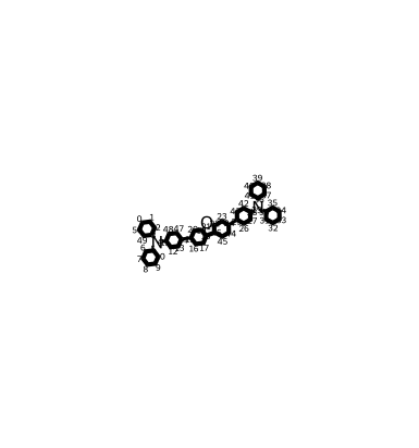 c1ccc(N(c2ccccc2)c2ccc(-c3ccc4c(c3)oc3cc(-c5ccc(N(c6ccccc6)c6ccccc6)cc5)ccc34)cc2)cc1